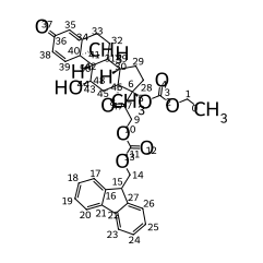 CCOC(=O)O[C@]1(C(=O)COC(=O)OCC2c3ccccc3-c3ccccc32)CC[C@H]2[C@@H]3CCC4=CC(=O)C=C[C@]4(C)[C@H]3C(O)C[C@@]21C